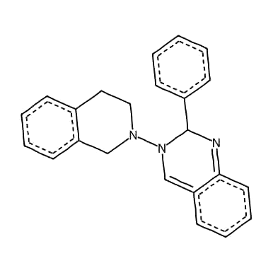 C1=c2ccccc2=NC(c2ccccc2)N1N1CCc2ccccc2C1